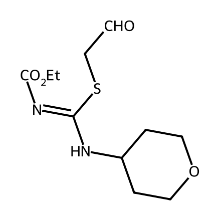 CCOC(=O)/N=C(/NC1CCOCC1)SCC=O